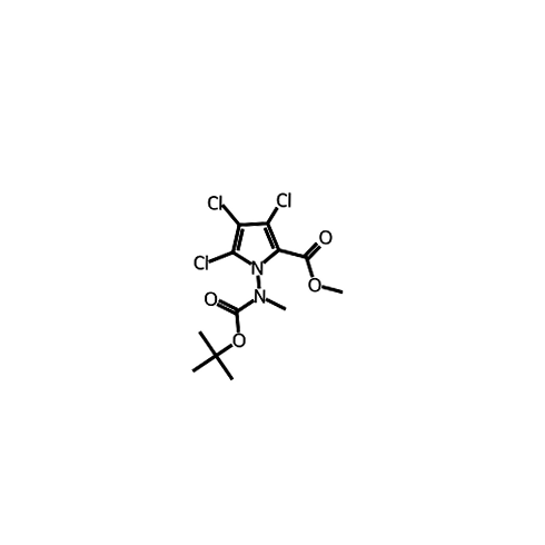 COC(=O)c1c(Cl)c(Cl)c(Cl)n1N(C)C(=O)OC(C)(C)C